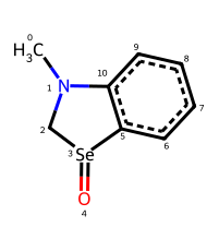 CN1C[Se](=O)c2ccccc21